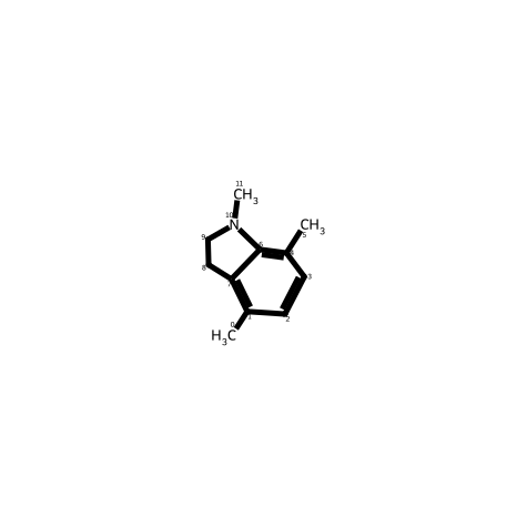 Cc1ccc(C)c2c1CCN2C